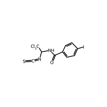 O=C(NC(N=C=S)C(Cl)(Cl)Cl)c1ccc(I)cc1